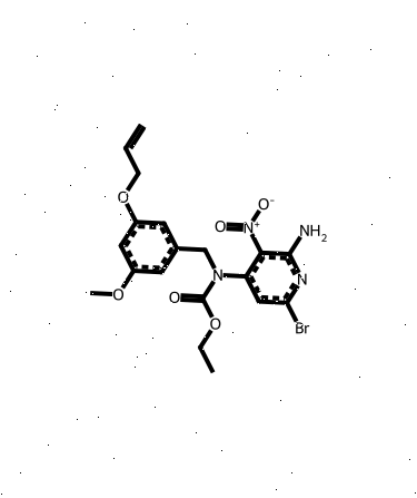 C=CCOc1cc(CN(C(=O)OCC)c2cc(Br)nc(N)c2[N+](=O)[O-])cc(OC)c1